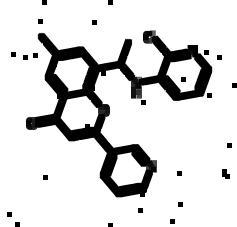 Cc1cc(C(C)Nc2cccnc2Cl)c2oc(-c3cccnc3)cc(=O)c2c1